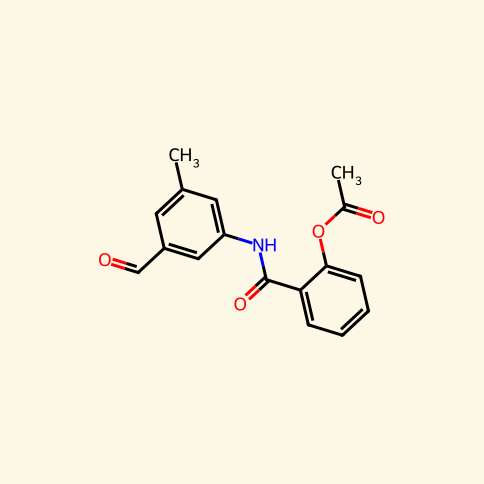 CC(=O)Oc1ccccc1C(=O)Nc1cc(C)cc(C=O)c1